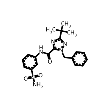 CC(C)(C)c1nc(C(=O)Nc2cccc(S(N)(=O)=O)c2)n(Cc2ccccc2)n1